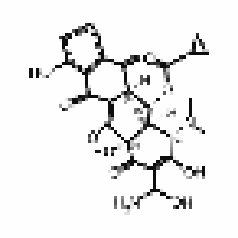 C=C1c2cccc(O)c2C(=O)C2=C(O)[C@]3(O)C(=O)C(C(N)O)=C(O)[C@@H](N(C)C)[C@@H]3[C@@H](OC(=O)C3CC3)[C@H]12